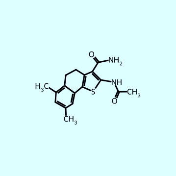 CC(=O)Nc1sc2c(c1C(N)=O)CCc1c(C)cc(C)cc1-2